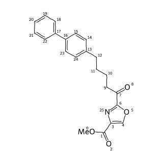 COC(=O)c1coc(C(=O)CCCCc2ccc(-c3ccccc3)cc2)n1